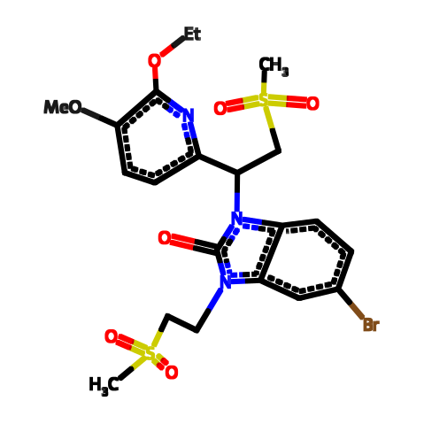 CCOc1nc(C(CS(C)(=O)=O)n2c(=O)n(CCS(C)(=O)=O)c3cc(Br)ccc32)ccc1OC